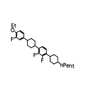 CCCCCC1CCC(c2ccc(C3CCC(c4ccc(OCC)c(F)c4)CC3)c(F)c2F)CC1